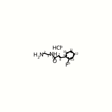 Cl.NCCNC(=O)C=Cc1ccccc1F